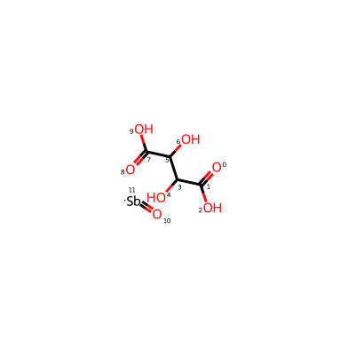 O=C(O)C(O)C(O)C(=O)O.[O]=[Sb]